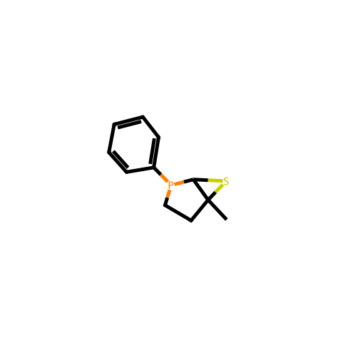 CC12CCP(c3ccccc3)C1S2